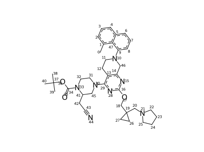 Cc1cccc2cccc(N3CCc4c(nc(OCC5(CN6CCCC6)CC5)nc4N4CCN(C(=O)OC(C)(C)C)C(CC#N)C4)C3)c12